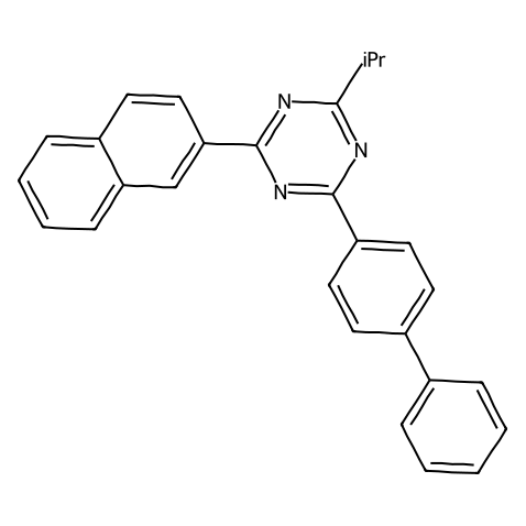 CC(C)c1nc(-c2ccc(-c3ccccc3)cc2)nc(-c2ccc3ccccc3c2)n1